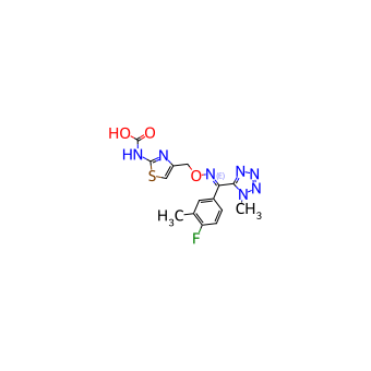 Cc1cc(/C(=N\OCc2csc(NC(=O)O)n2)c2nnnn2C)ccc1F